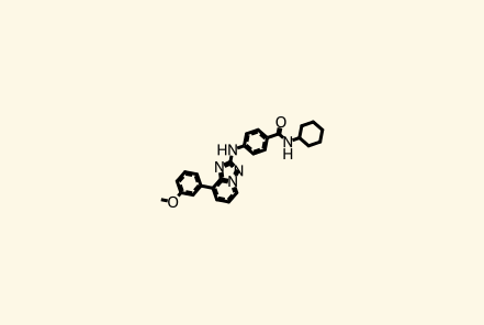 COc1cccc(-c2cccn3nc(Nc4ccc(C(=O)NC5CCCCC5)cc4)nc23)c1